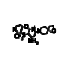 Cn1c(N2CCC3(CCOC3)CC2)cc(N)c(Sc2cccnc2C(F)(F)F)c1=O